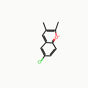 Cc1cc2cc(Cl)ccc2[o+]c1C